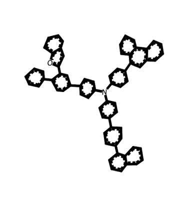 c1ccc(-c2ccc(-c3ccc(N(c4ccc(-c5ccc(-c6cccc7ccccc67)cc5)cc4)c4ccc(-c5cc6ccccc6c6ccccc56)cc4)cc3)cc2-c2cc3ccccc3o2)cc1